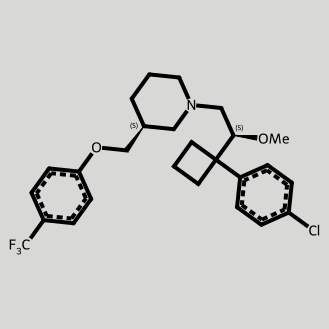 CO[C@H](CN1CCC[C@H](COc2ccc(C(F)(F)F)cc2)C1)C1(c2ccc(Cl)cc2)CCC1